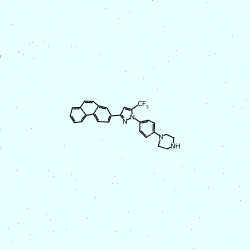 FC(F)(F)c1cc(-c2ccc3c(ccc4ccccc43)c2)nn1-c1ccc(N2CCNCC2)cc1